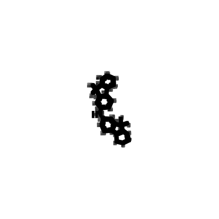 CC1(C)C2=C(CCC=C2)c2ccc(Nc3ccc4c(c3)C(C)(C)c3ccccc3-4)cc21